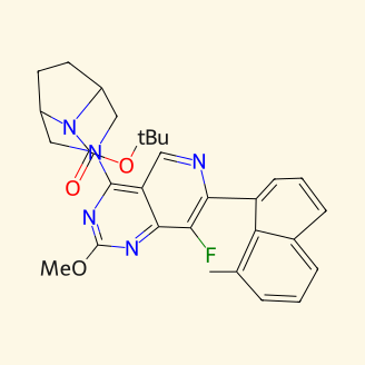 COc1nc(N2CC3CCC(C2)N3C(=O)OC(C)(C)C)c2cnc(-c3cccc4cccc(C)c34)c(F)c2n1